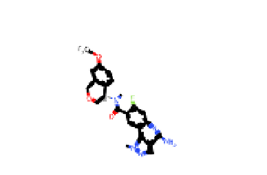 CN(C(=O)c1cc2c(cc1F)nc(N)c1cnn(C)c12)[C@@H]1COCc2cc(OC(F)(F)F)ccc21